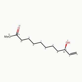 C=C[C@H](O)CCCCCCCC(=O)OC